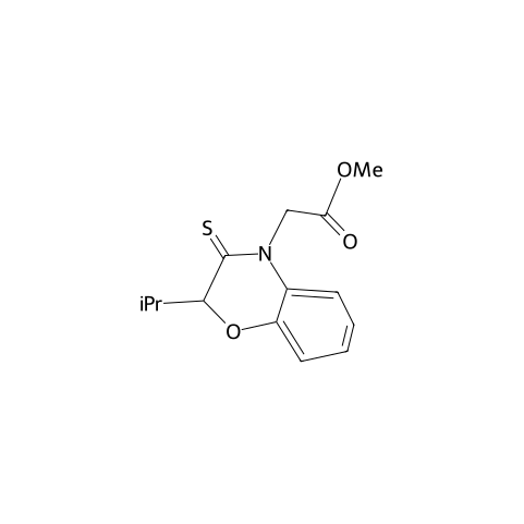 COC(=O)CN1C(=S)C(C(C)C)Oc2ccccc21